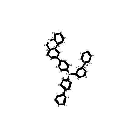 c1ccc(-c2ccc(N(c3ccc(-c4ccc5c(c4)-c4ccccc4OC5)cc3)c3cccc(-c4ccccc4)c3)cc2)cc1